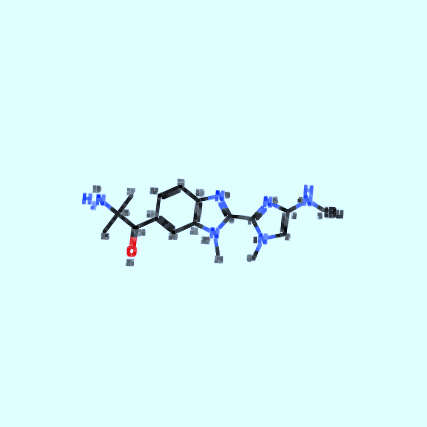 Cn1cc(NC(C)(C)C)nc1-c1nc2ccc(C(=O)C(C)(C)N)cc2n1C